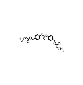 C=CC(=O)OCc1ccc(SC(=S)Sc2ccc(COC(=O)C=C)cc2)cc1